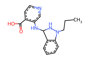 CCCN1NC(Nc2cnccc2C(=O)O)c2ccccc21